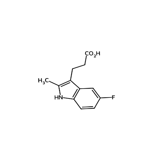 Cc1[nH]c2ccc(F)cc2c1CCC(=O)O